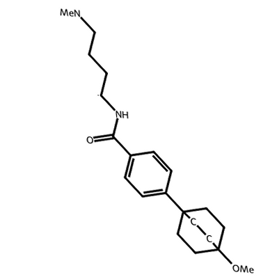 CNCCC[CH]NC(=O)c1ccc(C23CCC(OC)(CC2)CC3)cc1